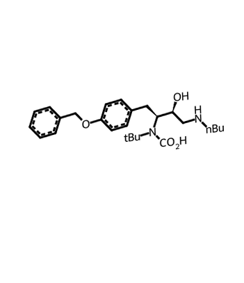 CCCCNC[C@H](O)[C@H](Cc1ccc(OCc2ccccc2)cc1)N(C(=O)O)C(C)(C)C